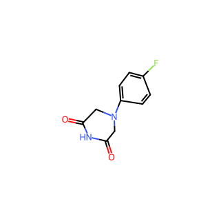 O=C1CN(c2ccc(F)cc2)CC(=O)N1